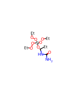 CCOO[Si](OOCC)(OOCC)OC(CC)NC(N)=O